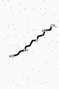 CCNCCOCCCNCCO